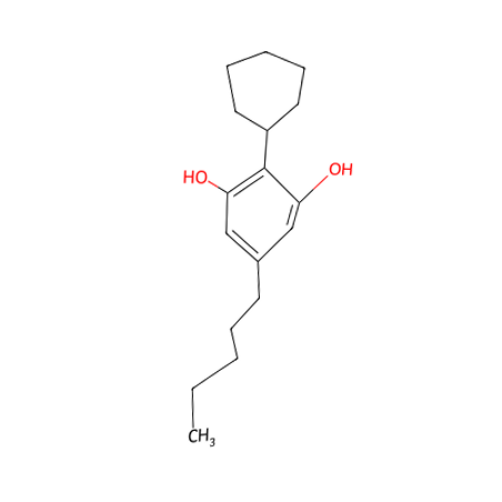 CCCCCc1cc(O)c(C2CCCCC2)c(O)c1